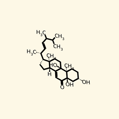 CC(C)C(C)C=C[C@@H](C)[C@H]1CC[C@H]2C3=CC(=O)[C@@]4(O)C[C@@H](O)CC[C@]4(C)[C@@]3(O)CC[C@]12C